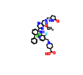 COc1nc(C2(Nc3nccc(CN4CCC(C(=O)O)CC4)c3F)C=CC=C(c3ccccc3)C2(Cl)Cl)cnc1CNCC1CCC(=O)N1